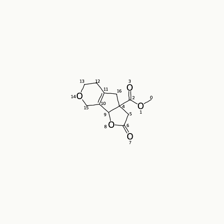 COC(=O)C12CC(=O)OC1C1=C(CCOC1)C2